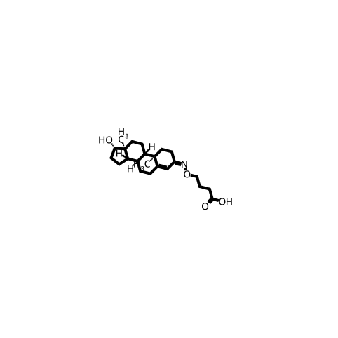 C[C@]12CC[C@H]3[C@@H](CCC4=CC(=NOCCCC(=O)O)CC[C@@]43C)[C@@H]1CC[C@@H]2O